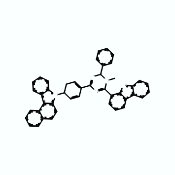 CN1C(c2cccc3c2oc2ccccc23)=NC(C2=CCC(n3c4ccccc4c4c5ccccc5ccc43)C=C2)=NC1c1ccccc1